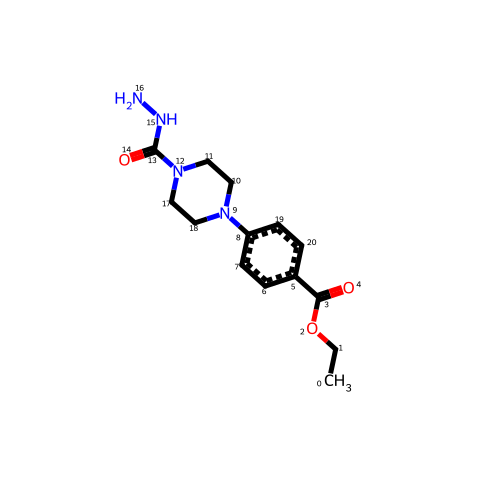 CCOC(=O)c1ccc(N2CCN(C(=O)NN)CC2)cc1